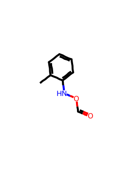 Cc1ccccc1NOC=O